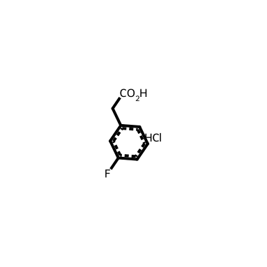 Cl.O=C(O)Cc1cccc(F)c1